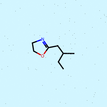 CCC(C)CC1=NCCO1